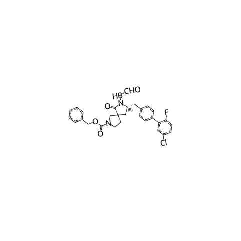 O=CBN1C(=O)C2(CCN(C(=O)OCc3ccccc3)C2)C[C@H]1Cc1ccc(-c2cc(Cl)ccc2F)cc1